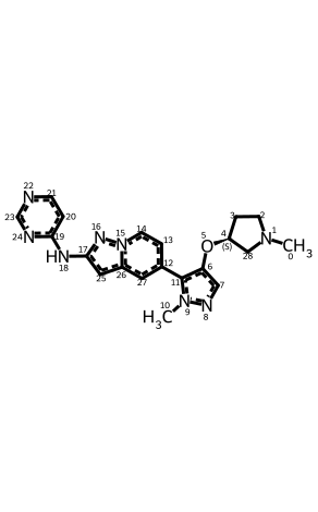 CN1CC[C@H](Oc2cnn(C)c2-c2ccn3nc(Nc4ccncn4)cc3c2)C1